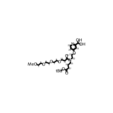 COCCOCCOCCOCCC(=O)N(CCCC(=O)OC(C)(C)C)CCOc1ccnc(C(O)O)c1